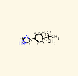 CC(C)(C)c1ccc(-c2c[nH][c]n2)cc1